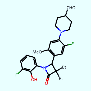 CCC1(CC)C(=O)N(c2cccc(F)c2O)C1c1cc(F)c(N2CCC(C=O)CC2)cc1OC